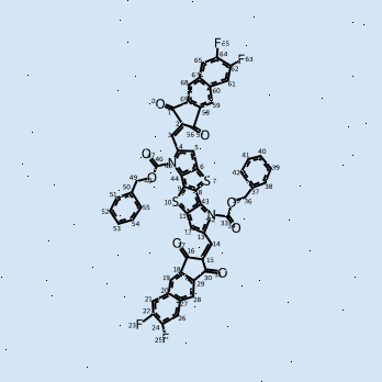 O=C1C(=Cc2cc3sc4c(sc5cc(C=C6C(=O)c7cc8cc(F)c(F)cc8cc7C6=O)n(C(=O)OCc6ccccc6)c54)c3n2C(=O)OCc2ccccc2)C(=O)c2cc3cc(F)c(F)cc3cc21